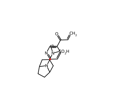 C=CC(=O)c1ccc(N2C3CCC2CC(N(C(=O)O)C(C)(C)C)C3)nc1